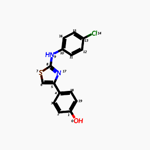 Oc1ccc(-c2csc(Nc3ccc(Cl)cc3)n2)cc1